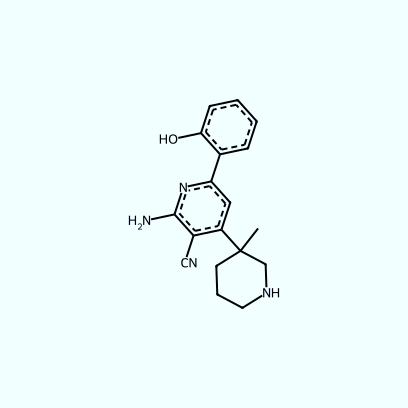 CC1(c2cc(-c3ccccc3O)nc(N)c2C#N)CCCNC1